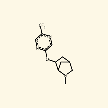 CN1CC2CC(Oc3cnc(C(F)(F)F)cn3)C1C2